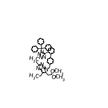 CCc1nc2c(CC)c(CC(OC)OC)n(Cc3ccc(-c4ccccc4-c4nnnn4C(c4ccccc4)(c4ccccc4)c4ccccc4)cc3)n2n1